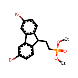 CCOP(=O)(CCC1c2ccc(Br)cc2-c2cc(Br)ccc21)OCC